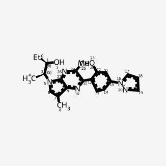 CC[C@@H](O)[C@H](C)n1cc(C)c2nc(-c3ccc(-n4cccn4)cc3OC)c(C)nc21